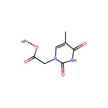 CCCOC(=O)Cn1cc(C)c(=O)[nH]c1=O